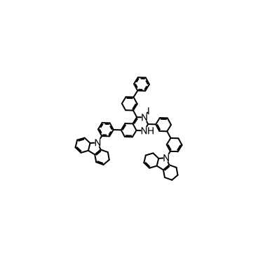 IN1C(C2=CC(c3ccccc3)=CCC2)=C2C=C(c3cccc(N4C5=C(C=CCC5)C5C=CC=CC54)c3)C=CC2NC1C1=CC(C2C=C(N3C4=C(CCCC4)C4C=CCCC43)C=CC2)CC=C1